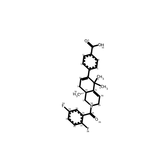 CC1(C)C(c2ccc(C(=O)O)cc2)=CC[C@]2(C)CN(C(=O)c3cc(F)ccc3F)CC=C12